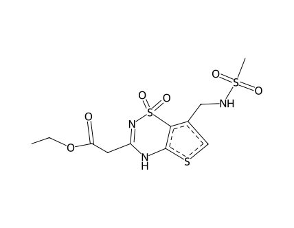 CCOC(=O)CC1=NS(=O)(=O)c2c(CNS(C)(=O)=O)csc2N1